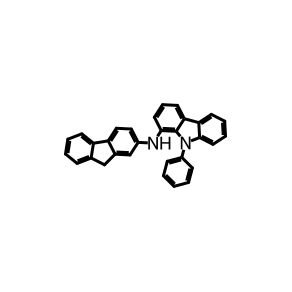 c1ccc(-n2c3ccccc3c3cccc(Nc4ccc5c(c4)Cc4ccccc4-5)c32)cc1